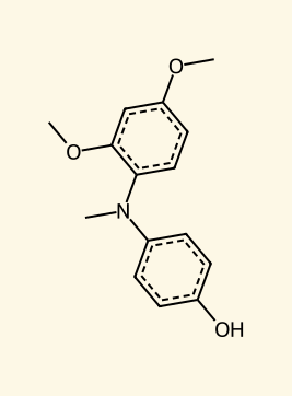 COc1ccc(N(C)c2ccc(O)cc2)c(OC)c1